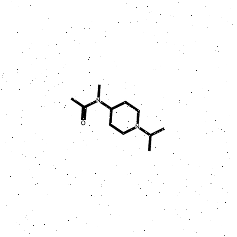 CC(=O)N(C)C1CCN(C(C)C)CC1